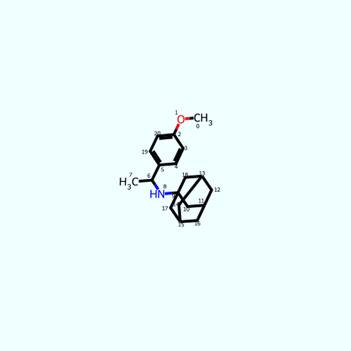 COc1ccc(C(C)NC23CC4CC(CC(C4)C2)C3)cc1